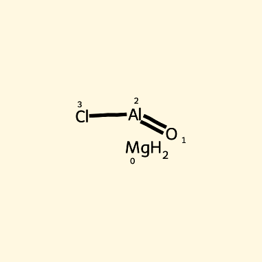 [MgH2].[O]=[Al][Cl]